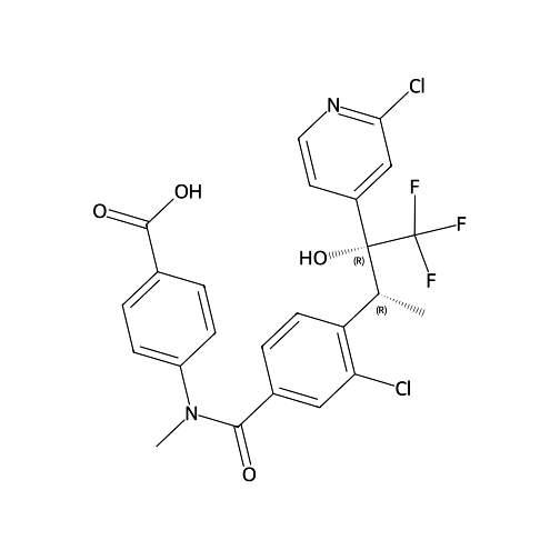 C[C@H](c1ccc(C(=O)N(C)c2ccc(C(=O)O)cc2)cc1Cl)[C@@](O)(c1ccnc(Cl)c1)C(F)(F)F